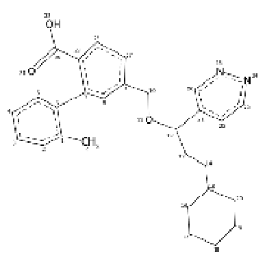 Cc1ccccc1-c1cc(COC(CCC2CCCCC2)c2ccnnc2)ccc1C(=O)O